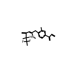 C=CC(=C)c1ccc(C/C(=C/C(=C)C(C)(C)C(C)(F)F)NC)c(C)c1